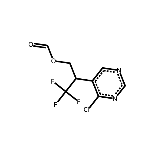 O=COCC(c1cncnc1Cl)C(F)(F)F